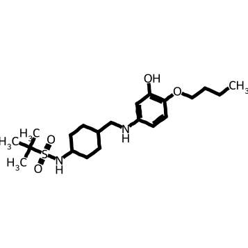 CCCCOc1ccc(NCC2CCC(NS(=O)(=O)C(C)(C)C)CC2)cc1O